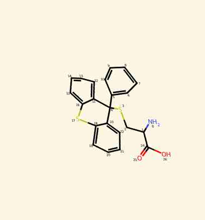 NC(CSC1(c2ccccc2)c2ccccc2Sc2ccccc21)C(=O)O